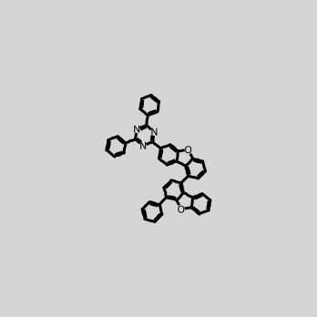 c1ccc(-c2nc(-c3ccccc3)nc(-c3ccc4c(c3)oc3cccc(-c5ccc(-c6ccccc6)c6oc7ccccc7c56)c34)n2)cc1